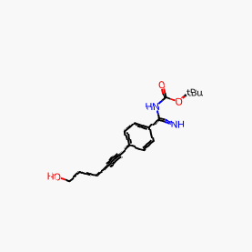 CC(C)(C)OC(=O)NC(=N)c1ccc(C#CCCCO)cc1